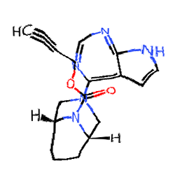 C#CCOC(=O)N1[C@@H]2CC[C@H]1CN(c1ncnc3[nH]ccc13)C2